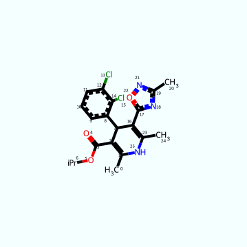 CC1=C(C(=O)OC(C)C)C(c2cccc(Cl)c2Cl)C(c2nc(C)no2)=C(C)N1